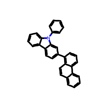 c1ccc(-n2c3ccccc3c3ccc(-c4cccc5c4ccc4ccccc45)cc32)cc1